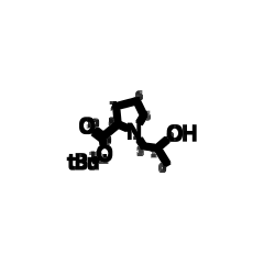 CC(O)CN1CCCC1C(=O)OC(C)(C)C